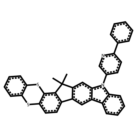 CC1(C)c2cc3c(cc2-c2ccc4c(c21)Sc1ccccc1S4)c1ccccc1n3-c1ccc(-c2ccccc2)nc1